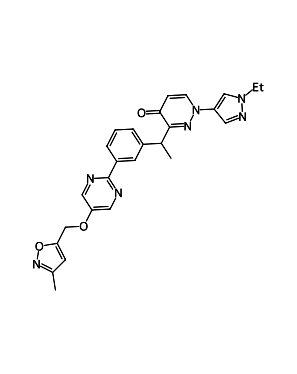 CCn1cc(-n2ccc(=O)c(C(C)c3cccc(-c4ncc(OCc5cc(C)no5)cn4)c3)n2)cn1